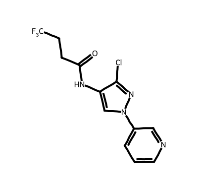 O=C(CCC(F)(F)F)Nc1cn(-c2cccnc2)nc1Cl